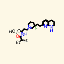 CCC(CC)C(=O)NC(CCN1CCC[C@](F)(CCc2ccc3c(n2)NCCC3)C1)C(=O)O